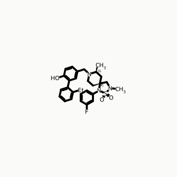 CCc1ccccc1-c1cc(CN2CC[C@@]3(C[C@@H]2C)CN(C)S(=O)(=O)N3c2cccc(F)c2)ccc1O